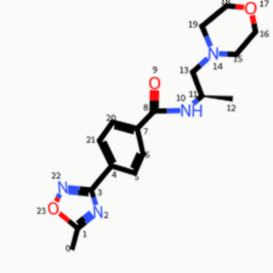 Cc1nc(-c2ccc(C(=O)N[C@H](C)CN3CCOCC3)cc2)no1